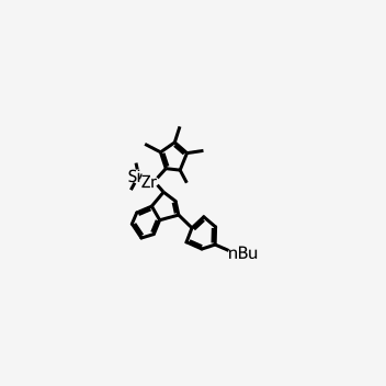 CCCCc1ccc(C2=C[CH]([Zr]([C]3=C(C)C(C)=C(C)C3C)=[Si](C)C)c3ccccc32)cc1